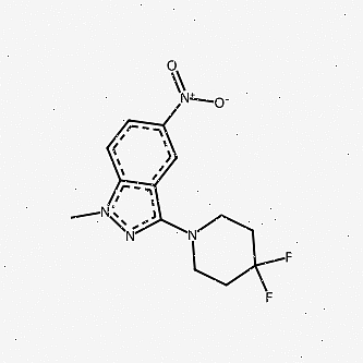 Cn1nc(N2CCC(F)(F)CC2)c2cc([N+](=O)[O-])ccc21